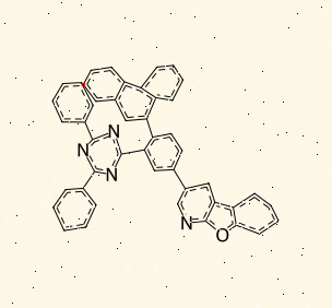 c1ccc(-c2nc(-c3ccccc3)nc(-c3cc(-c4cnc5oc6ccccc6c5c4)ccc3-c3cc4ccccc4c4ccccc34)n2)cc1